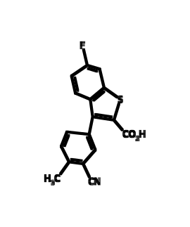 Cc1ccc(-c2c(C(=O)O)sc3cc(F)ccc23)cc1C#N